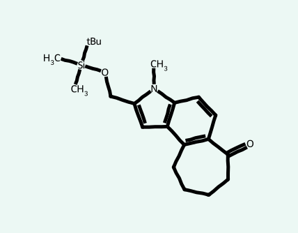 Cn1c(CO[Si](C)(C)C(C)(C)C)cc2c3c(ccc21)C(=O)CCCC3